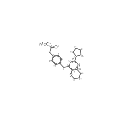 COC(=O)Cc1ccc(Cc2nc(C3CCCC3)nc3c2SCCC3)cc1